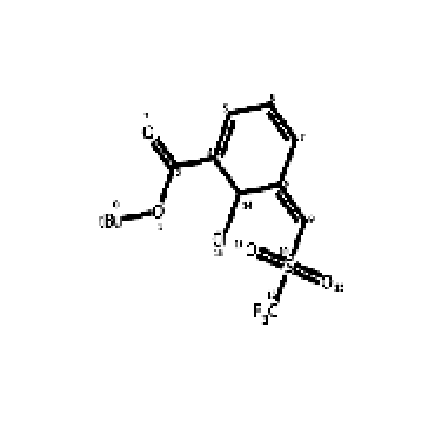 CC(C)(C)OC(=O)C1=CC=CC(=CS(=O)(=O)C(F)(F)F)C1Cl